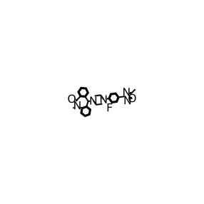 Cc1nc(-c2ccc(N3CCN(C4c5ccccc5C(=O)N(C)c5ccccc54)CC3)c(F)c2)no1